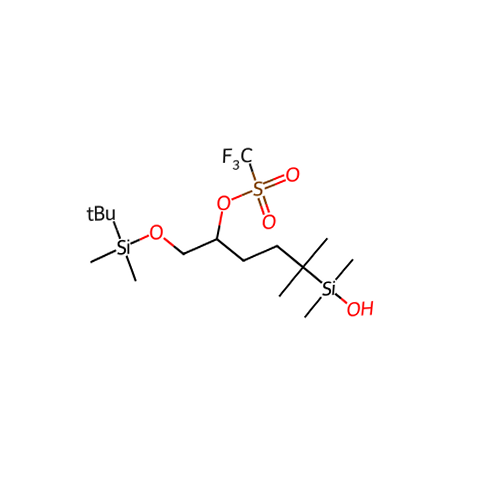 CC(C)(CCC(CO[Si](C)(C)C(C)(C)C)OS(=O)(=O)C(F)(F)F)[Si](C)(C)O